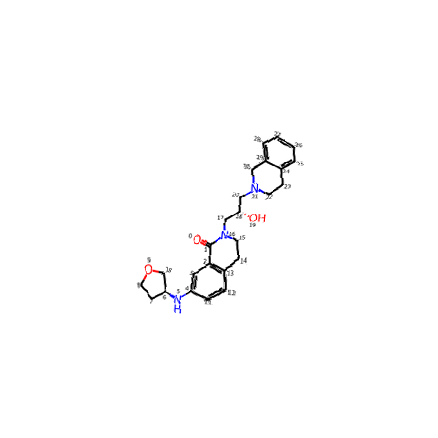 O=C1c2cc(N[C@H]3CCOC3)ccc2CCN1C[C@@H](O)CN1CCc2ccccc2C1